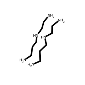 NCCCNCCN.NCCCNCCN